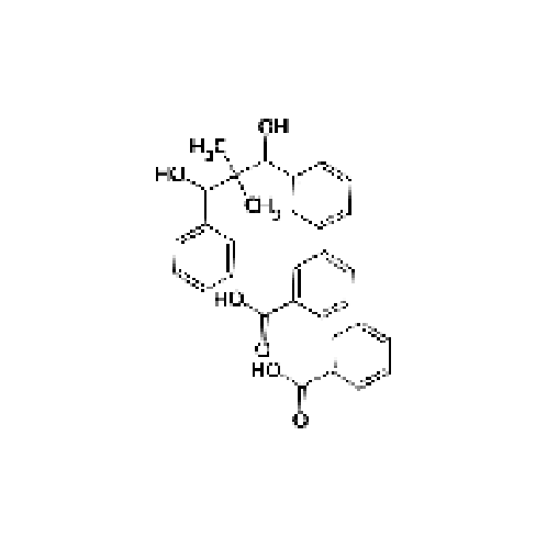 CC(C)(C(O)c1ccccc1)C(O)c1ccccc1.O=C(O)c1ccccc1.O=C(O)c1ccccc1